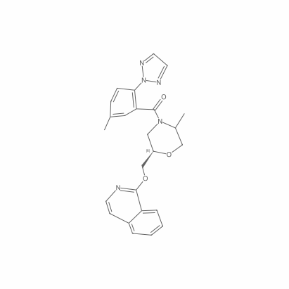 Cc1ccc(-n2nccn2)c(C(=O)N2C[C@H](COc3nccc4ccccc34)OCC2C)c1